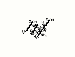 CC(O)[C@@H](N)C(=O)O.NC(=O)C[C@@H](N)C(=O)O.NC(CCCC(=O)O)C(=O)O.NCCCC[C@@H](N)C(=O)O